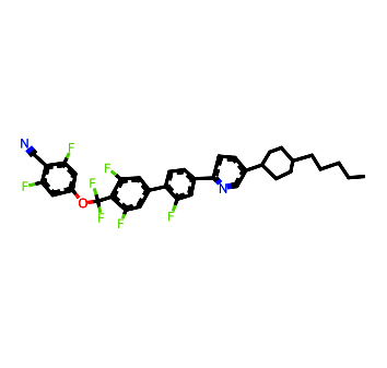 CCCCCC1CCC(c2ccc(-c3ccc(-c4cc(F)c(C(F)(F)Oc5cc(F)c(C#N)c(F)c5)c(F)c4)c(F)c3)nc2)CC1